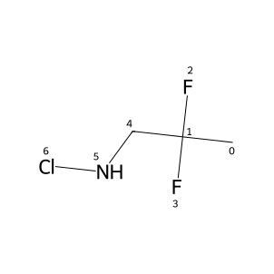 CC(F)(F)CNCl